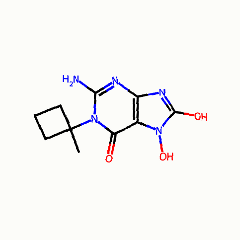 CC1(n2c(N)nc3nc(O)n(O)c3c2=O)CCC1